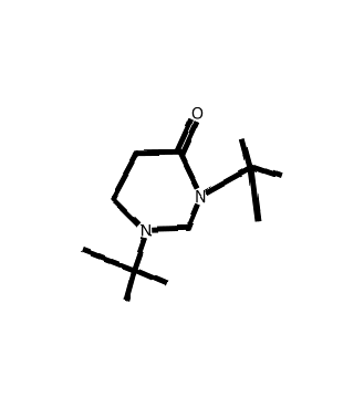 CC(C)(C)N1CCC(=O)N(C(C)(C)C)C1